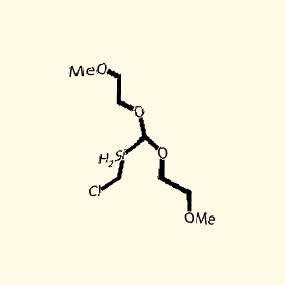 COCCOC(OCCOC)[SiH2]CCl